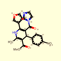 COC(=O)C1=C(C)NC(c2ccoc2)=C(C(=O)n2ccnc2)C1c1ccc([N+](=O)[O-])cc1